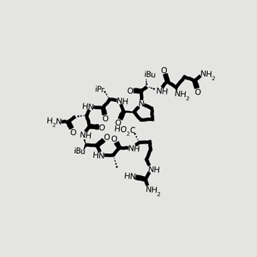 CC[C@H](C)[C@H](NC(=O)[C@H](CC(N)=O)NC(=O)[C@@H](NC(=O)[C@@H]1CCCN1C(=O)[C@@H](NC(=O)[C@@H](N)CC(N)=O)[C@@H](C)CC)C(C)C)C(=O)N[C@@H](C)C(=O)N[C@@H](CCCNC(=N)N)C(=O)O